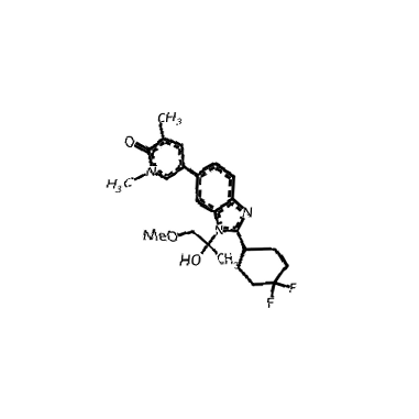 COCC(C)(O)n1c(C2CCC(F)(F)CC2)nc2ccc(-c3cc(C)c(=O)n(C)c3)cc21